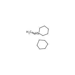 C1CCCCC1.C=C[SiH]1CCCCC1